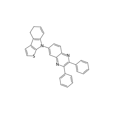 C1=Cc2c(c3ccsc3n2-c2ccc3nc(-c4ccccc4)c(-c4ccccc4)nc3c2)CC1